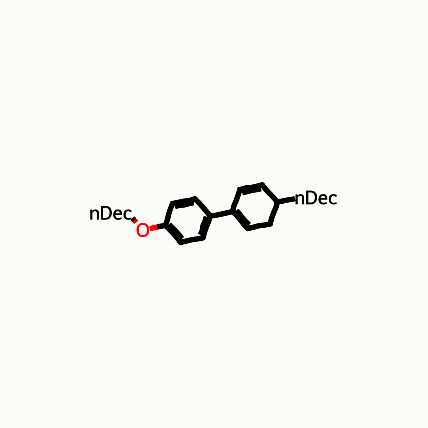 CCCCCCCCCCOc1ccc(C2=CCC(CCCCCCCCCC)C=C2)cc1